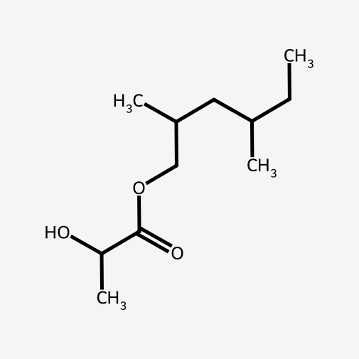 CCC(C)CC(C)COC(=O)C(C)O